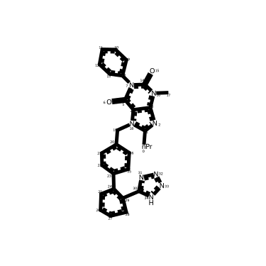 CCCc1nc2c(c(=O)n(-c3ccccc3)c(=O)n2C)n1Cc1ccc(-c2ccccc2-c2nnn[nH]2)cc1